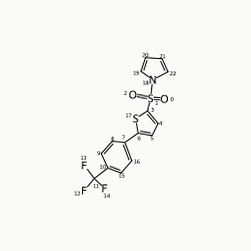 O=S(=O)(c1ccc(-c2ccc(C(F)(F)F)cc2)s1)n1cccc1